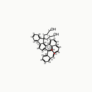 OCCCC1(CCCO)c2ccccc2-c2ccc(-c3cccc4ccccc34)c(-c3cccc4ccccc34)c21